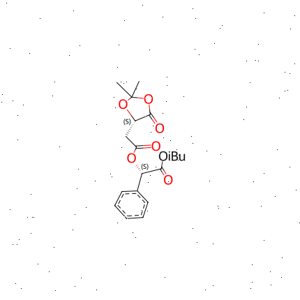 CC(C)COC(=O)[C@@H](OC(=O)C[C@@H]1OC(C)(C)OC1=O)c1ccccc1